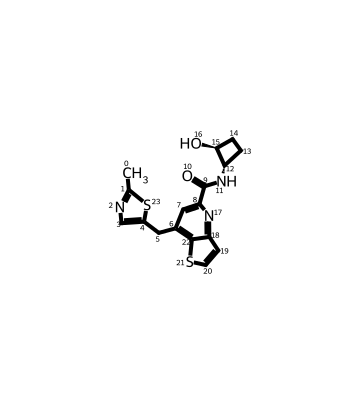 Cc1ncc(Cc2cc(C(=O)N[C@H]3CC[C@@H]3O)nc3ccsc23)s1